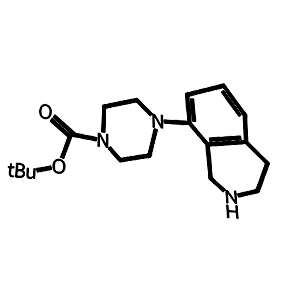 CC(C)(C)OC(=O)N1CCN(c2cccc3c2CNCC3)CC1